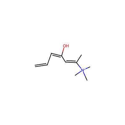 C=C/C=C(O)\C=C(/C)[N+](C)(C)C